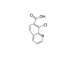 O=C(O)c1ccc2cccnc2c1Cl